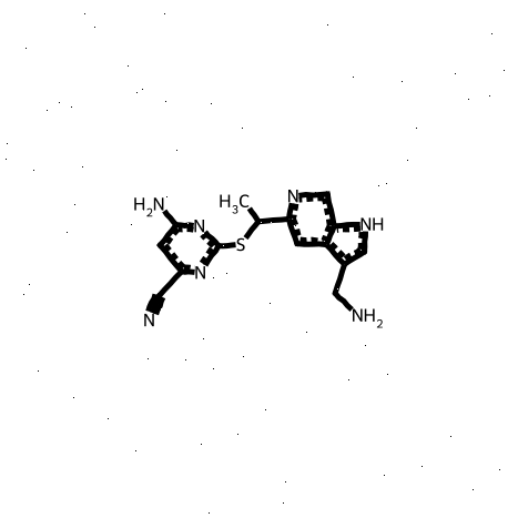 CC(Sc1nc(N)cc(C#N)n1)c1cc2c(CN)c[nH]c2cn1